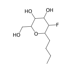 CCCCC1OC(CO)C(O)C(O)C1F